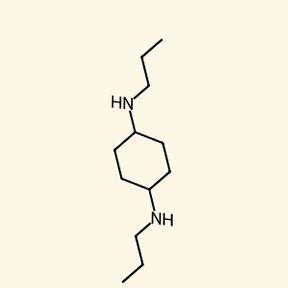 CCCNC1CCC(NCCC)CC1